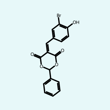 O=C1OC(c2ccccc2)OC(=O)C1=Cc1ccc(O)c(Br)c1